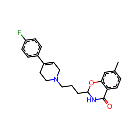 Cc1ccc2c(c1)OC(CCCN1CC=C(c3ccc(F)cc3)CC1)NC2=O